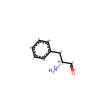 N[C@@H]([C]=O)Cc1ccccc1